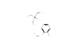 NC(CO)(CO)CO.OB(O)Oc1ccccc1F